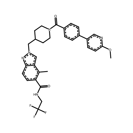 COc1ccc(-c2ccc(C(=O)N3CCC(Cn4cc5c(C)c(C(=O)NCC(F)(F)F)ccc5n4)CC3)cc2)cn1